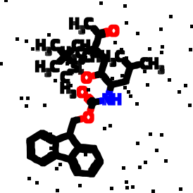 CC(=O)C(C)CC(O[Si](C)(C)C(C)(C)C)C(CC(C)C)NC(=O)OCC1c2ccccc2-c2ccccc21